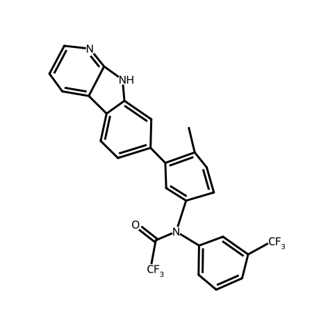 Cc1ccc(N(C(=O)C(F)(F)F)c2cccc(C(F)(F)F)c2)cc1-c1ccc2c(c1)[nH]c1ncccc12